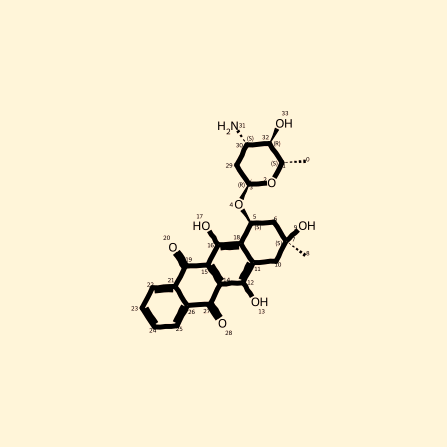 C[C@@H]1O[C@@H](O[C@H]2C[C@@](C)(O)Cc3c(O)c4c(c(O)c32)C(=O)c2ccccc2C4=O)C[C@H](N)[C@H]1O